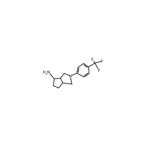 NC1CCC2CN(c3ccc(C(F)(F)F)cc3)CC12